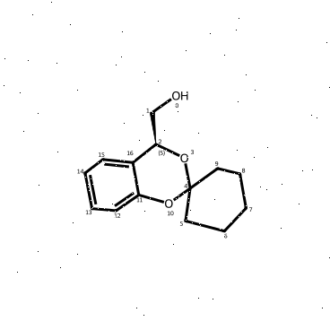 OC[C@H]1OC2(CCCCC2)Oc2ccccc21